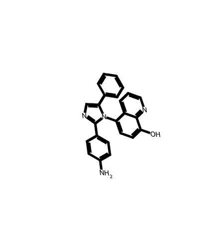 Nc1ccc(-c2ncc(-c3ccccc3)n2-c2ccc(O)c3ncccc23)cc1